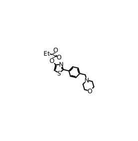 CCS(=O)(=O)Oc1csc(-c2ccc(CN3CCOCC3)cc2)n1